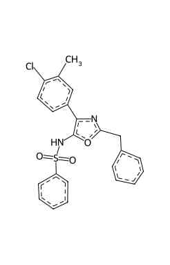 Cc1cc(-c2nc(Cc3ccccc3)oc2NS(=O)(=O)c2ccccc2)ccc1Cl